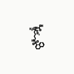 CC(C)(CCCCNS(=O)(=O)c1cccc2ccccc12)NC(=O)O